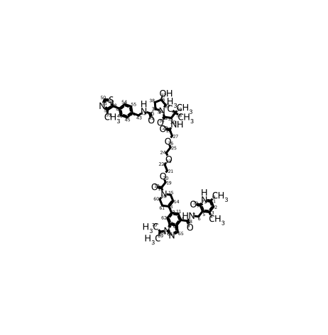 Cc1cc(C)c(CNC(=O)c2cc(C3=CCN(C(=O)COCCOCCOCC(=O)N[C@H](C(=O)N4C[C@H](O)C[C@H]4C(=O)NCc4ccc(-c5scnc5C)cc4)C(C)(C)C)CC3)cc3c2cnn3C(C)C)c(=O)[nH]1